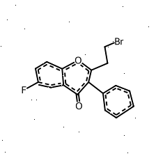 O=c1c(-c2ccccc2)c(CCBr)oc2ccc(F)cc12